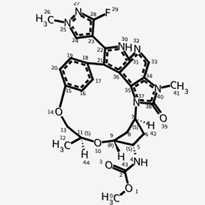 COC(=O)N[C@H]1C[C@H]2C[C@H]1O[C@@H](C)COc1ccc(cc1)-c1c(-c3cn(C)nc3F)[nH]c3ncc4c(c13)n2c(=O)n4C